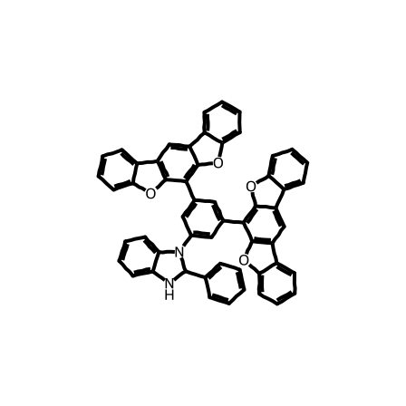 c1ccc(C2Nc3ccccc3N2c2cc(-c3c4oc5ccccc5c4cc4c3oc3ccccc34)cc(-c3c4oc5ccccc5c4cc4c3oc3ccccc34)c2)cc1